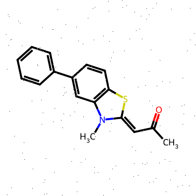 CC(=O)/C=C1\Sc2ccc(-c3ccccc3)cc2N1C